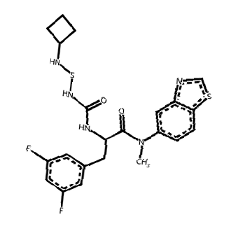 CN(C(=O)C(Cc1cc(F)cc(F)c1)NC(=O)NSNC1CCC1)c1ccc2scnc2c1